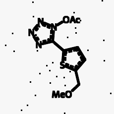 COCc1ccc(-c2nnnn2OC(C)=O)s1